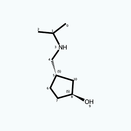 CC(C)NC[C@H]1CC[C@H](O)C1